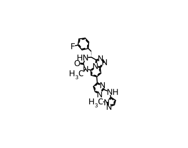 CN1C(=O)N[C@H](Cc2cccc(F)c2)c2nnc3cc(-c4ccnc(Nc5ccnn5C)n4)cc1n23